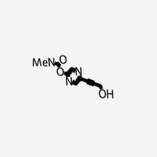 CNC(=O)Oc1cnc(C#CCO)cn1